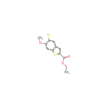 CCOC(=O)c1cc2cc(S)c(OC)cc2s1